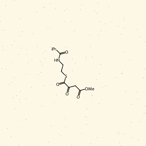 COC(=O)CC(=O)C(=O)SCCNC(=O)C(C)C